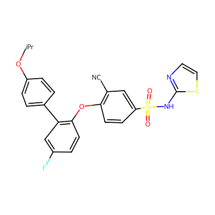 CC(C)Oc1ccc(-c2cc(F)ccc2Oc2ccc(S(=O)(=O)Nc3nccs3)cc2C#N)cc1